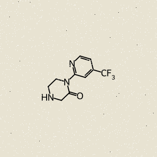 O=C1CNCCN1c1cc(C(F)(F)F)ccn1